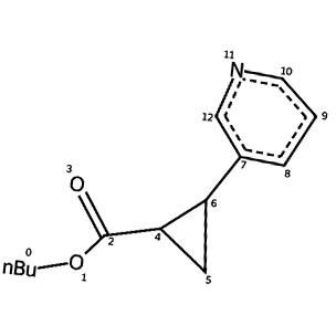 CCCCOC(=O)C1CC1c1cccnc1